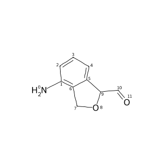 Nc1cccc2c1COC2C=O